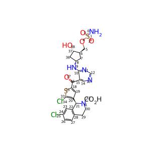 NS(=O)(=O)OC[C@H]1C[C@@H](Nc2ncncc2C(=O)c2cc([C@@H]3c4cc(Cl)ccc4CCN3C(=O)O)c(Cl)s2)C[C@@H]1O